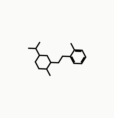 Cc1ccccc1CCC1CC(C(C)C)CCC1C